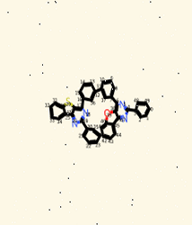 c1ccc(-c2nc(-c3cccc(-c4cccc(-c5nc(-c6ccccc6)nc6c5sc5ccccc56)c4)c3)c3oc4ccccc4c3n2)cc1